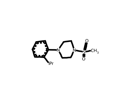 CC(C)c1ccccc1N1CCN(S(C)(=O)=O)CC1